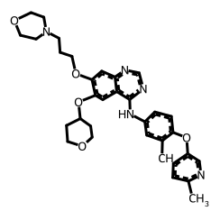 Cc1ccc(Oc2ccc(Nc3ncnc4cc(OCCCN5CCOCC5)c(OC5CCOCC5)cc34)cc2C)cn1